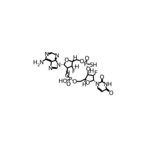 Nc1ncnc2c1ncn2[C@@H]1O[C@@H]2COP(=O)(S)O[C@H]3[C@@H](F)[C@H](n4ccc(=O)[nH]c4=O)O[C@@H]3COP(=O)(O)O[C@@H]1[C@@H]2F